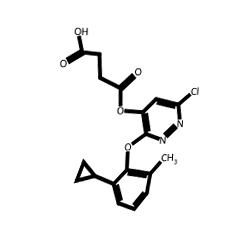 Cc1cccc(C2CC2)c1Oc1nnc(Cl)cc1OC(=O)CCC(=O)O